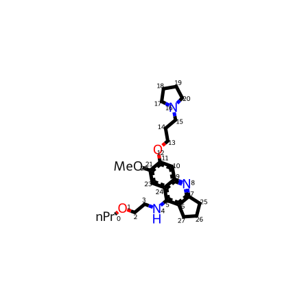 CCCOCCNc1c2c(nc3cc(OCCCN4CCCC4)c(OC)cc13)CCC2